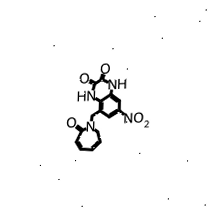 O=C1C=CC=CCN1Cc1cc([N+](=O)[O-])cc2[nH]c(=O)c(=O)[nH]c12